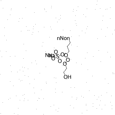 CCCCCCCCCCCCOOOCCO.O=S(=O)([O-])[O-].[Na+].[Na+]